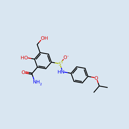 CC(C)Oc1ccc(N[S+]([O-])c2cc(CO)c(O)c(C(N)=O)c2)cc1